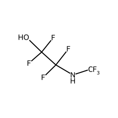 OC(F)(F)C(F)(F)NC(F)(F)F